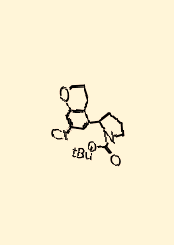 CC(C)(C)OC(=O)N1CCCC1c1cc(Cl)cc2c1CCCO2